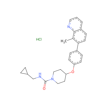 Cc1c(-c2ccc(OC3CCN(C(=O)NCC4CC4)CC3)cc2)ccc2cccnc12.Cl